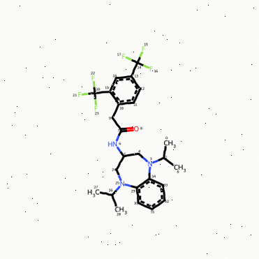 CC(C)N1CC(NC(=O)Cc2ccc(C(F)(F)F)cc2C(F)(F)F)CN(C(C)C)c2ccccc21